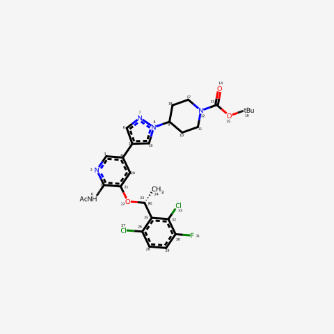 CC(=O)Nc1ncc(-c2cnn(C3CCN(C(=O)OC(C)(C)C)CC3)c2)cc1O[C@H](C)c1c(Cl)ccc(F)c1Cl